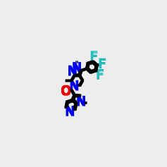 CC1c2nn(C)c(-c3cc(F)c(F)c(F)c3)c2CCN1C(=O)c1cn(C)c2cnccc12